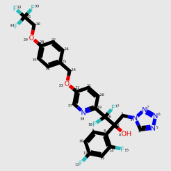 OC(Cn1cnnn1)(c1ccc(F)cc1F)C(F)(F)c1ccc(OCc2ccc(OCC(F)(F)F)cc2)cn1